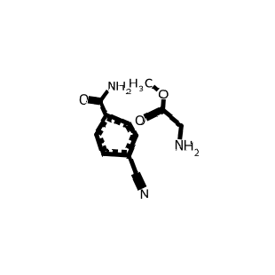 COC(=O)CN.N#Cc1ccc(C(N)=O)cc1